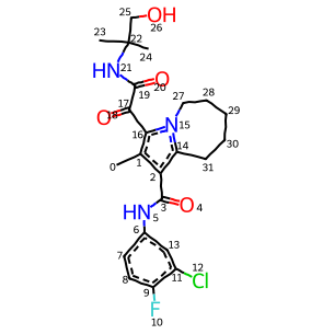 Cc1c(C(=O)Nc2ccc(F)c(Cl)c2)c2n(c1C(=O)C(=O)NC(C)(C)CO)CCCCC2